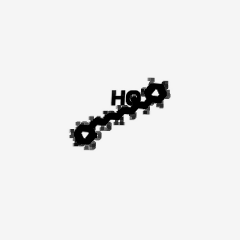 OC(=Cc1ccccc1)/C=C/C=C/C=Cc1ccccc1